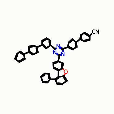 N#Cc1ccc(-c2ccc(-c3nc(-c4cccc(-c5ccc(-c6ccccc6)cc5)c4)nc(-c4ccc5c(c4)oc4cccc(-c6ccccc6)c45)n3)cc2)cc1